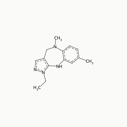 CCn1ncc2c1Nc1cc(C)ccc1N(C)C2